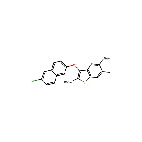 COc1cc2c(Oc3ccc4cc(Br)ccc4c3)c(C(=O)O)sc2cc1C